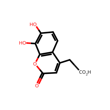 O=C(O)Cc1cc(=O)oc2c(O)c(O)ccc12